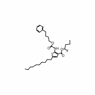 CCCCCCCCCCc1cc(C(=O)OC(F)CCC)c(NC(=O)OCCCCc2ccccc2)s1